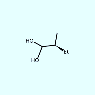 CC[C@H](C)C(O)O